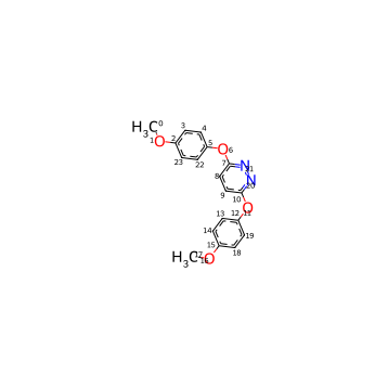 COc1ccc(Oc2ccc(Oc3ccc(OC)cc3)nn2)cc1